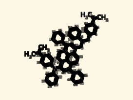 CC(C)c1ccc(CC(Cc2cc(C3C=CC=CC3)c3ccc4c(N(c5ccccc5)c5ccc(C(C)C)cc5)cc(-c5ccccc5)c5ccc2c3c54)c2ccccc2)cc1